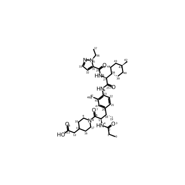 CCC(=O)N[C@@H](C(=O)N1CCC(CC(=O)O)CC1)[C@@H](C)c1ccc(NC(=O)[C@@H](NC(=O)c2ccnn2CC)[C@H]2CC[C@H](C)CC2)c(F)c1